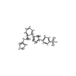 CS(=O)(=O)c1ccc(-c2nnc(-c3ccccc3NCC3=COCO3)[nH]2)cc1